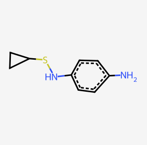 Nc1ccc(NSC2CC2)cc1